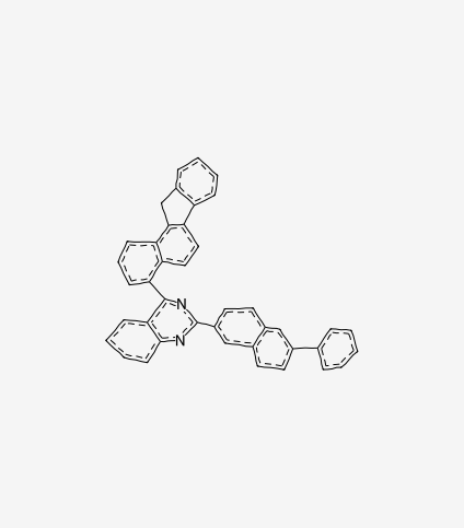 c1ccc(-c2ccc3cc(-c4nc(-c5cccc6c7c(ccc56)-c5ccccc5C7)c5ccccc5n4)ccc3c2)cc1